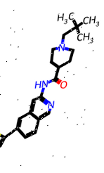 CC(C)(C)CN1CCC(C(=O)Nc2cc3cc(-c4cncs4)ccc3cn2)CC1